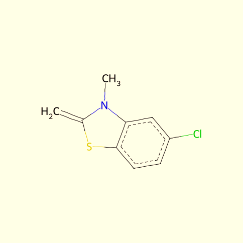 C=C1Sc2ccc(Cl)cc2N1C